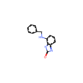 O=C1N=c2cccc(N[CH]c3ccccc3)c2=N1